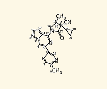 Cc1ccc(-c2cn3nccc3c(N3C[C@@H](C)[C@@](C#N)(C4CC4)C3=O)n2)cn1